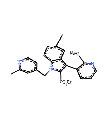 CCOC(=O)c1c(-c2cccnc2OC)c2cc(C)ccc2n1Cc1ccnc(C)c1